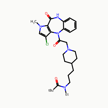 CCN(CCCC1CCN(CC(=O)N2c3ccccc3NC(=O)c3c2c(Cl)cn3C)CC1)C(=O)C(C)(C)C